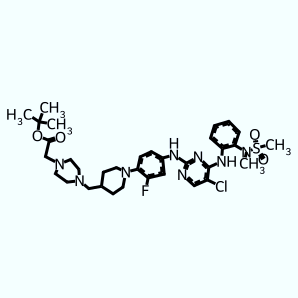 CN(c1ccccc1Nc1nc(Nc2ccc(N3CCC(CN4CCN(CC(=O)OC(C)(C)C)CC4)CC3)c(F)c2)ncc1Cl)S(C)(=O)=O